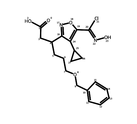 O=C(O)CC(CCCOCc1ccccc1)c1noc(C(Cl)=NO)c1C1CC1